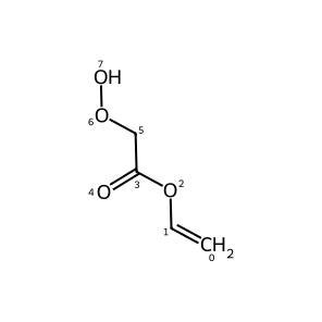 C=COC(=O)COO